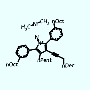 CCCCCCCCCCCC#CC1=C(c2cccc(CCCCCCCC)c2)[N+](=[N-])C(c2cccc(CCCCCCCC)c2)=C1CCCCC.[CH3][Ni][CH3]